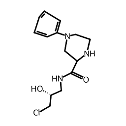 O=C(NC[C@@H](O)CCl)C1CN(c2ccccc2)CCN1